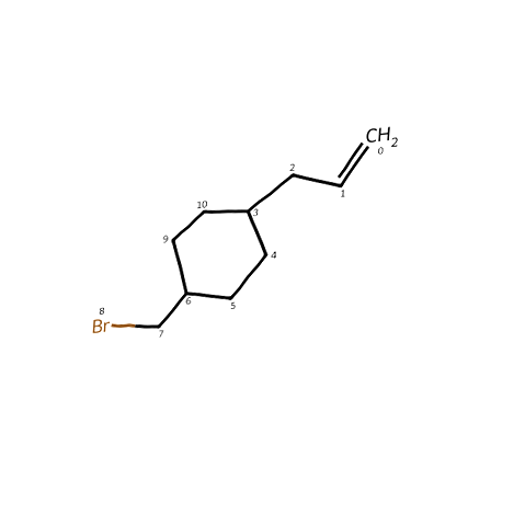 C=CCC1CCC(CBr)CC1